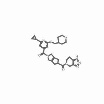 O=C(c1cc(OCC2CCOCC2)nc(C2CC2)c1)N1CC2=C(CC(C(=O)N3CCc4[nH]nnc4C3)C2)C1